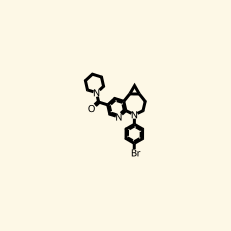 O=C(c1cnc2c(c1)C1CC1CCN2c1ccc(Br)cc1)N1CCCCC1